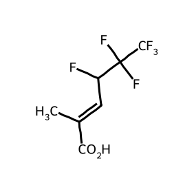 CC(=CC(F)C(F)(F)C(F)(F)F)C(=O)O